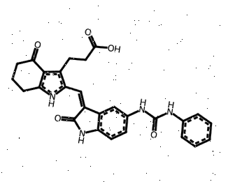 O=C(O)CCc1c(/C=C2\C(=O)Nc3ccc(NC(=O)Nc4ccccc4)cc32)[nH]c2c1C(=O)CCC2